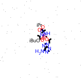 CC(C)COC(=O)C(C)NP(=O)(COC(C)Cn1cnc2c(N)ncnc21)NC(C)(C)C(=O)OC(C)C